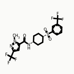 Cn1nc(C(F)(F)F)cc1C(=O)N[C@H]1CC[C@@H](S(=O)(=O)c2cccc(C(F)(F)F)c2)CC1